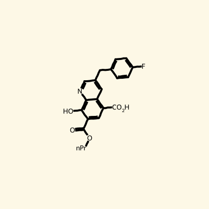 CCCOC(=O)c1cc(C(=O)O)c2cc(Cc3ccc(F)cc3)cnc2c1O